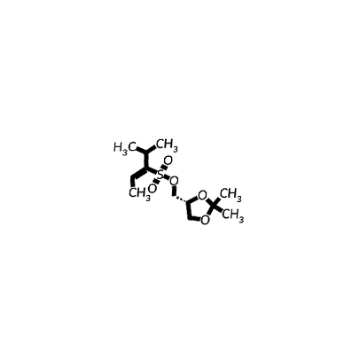 C/C=C(/C(C)C)S(=O)(=O)OC[C@H]1COC(C)(C)O1